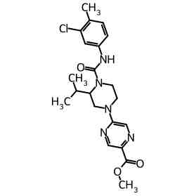 COC(=O)c1cnc(N2CCN(C(=O)Nc3ccc(C)c(Cl)c3)C(C(C)C)C2)cn1